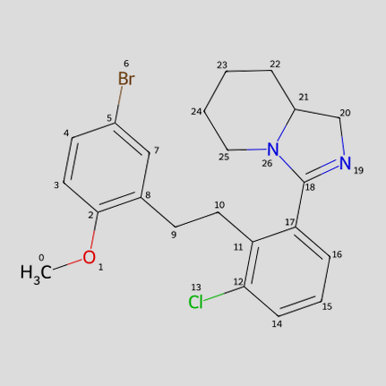 COc1ccc(Br)cc1CCc1c(Cl)cccc1C1=NCC2CCCCN12